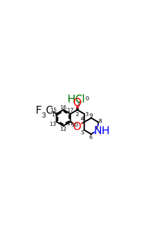 Cl.O=C1CC2(CCNCC2)Oc2ccc(C(F)(F)F)cc21